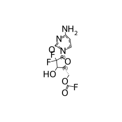 Nc1ccn([C@@H]2O[C@H](COC(=O)F)C(O)C2(F)F)c(=O)n1